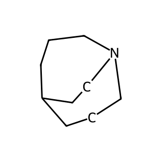 C1CC2CCCN(C1)CC2